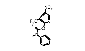 CN(C(=O)Oc1ncc([N+](=O)[O-])cc1C(F)(F)F)c1ccccc1